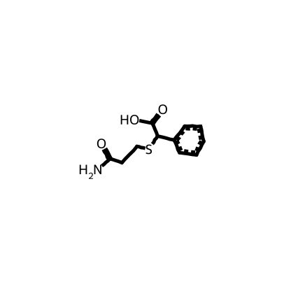 NC(=O)CCSC(C(=O)O)c1ccccc1